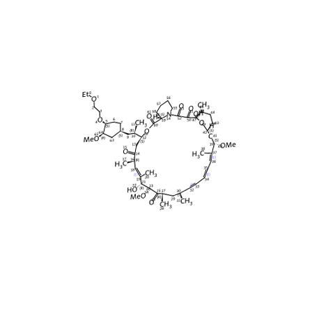 CCOCCO[C@H]1CC[C@@H](C[C@@H](C)[C@@H]2CC(=O)[C@H](C)/C=C(\C)[C@@H](O)[C@@H](OC)C(=O)[C@H](C)C[C@H](C)/C=C/C=C/C=C(\C)[C@@H](OC)C[C@@H]3CC[C@@H](C)[C@@](O)(O3)C(=O)C(=O)N3CCCC[C@H]3C(=O)O2)C[C@H]1OC